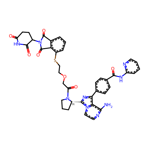 Nc1nccn2c([C@@H]3CCCN3C(=O)COCCSc3cccc4c3C(=O)N(C3CCC(=O)NC3=O)C4=O)nc(-c3ccc(C(=O)Nc4ccccn4)cc3)c12